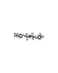 O=C(/C=C/c1ccc(OC(F)(F)F)cn1)NC12CC(NC(=O)COc3ccc(Cl)c(F)c3)(C1)C2